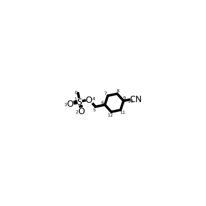 CS(=O)(=O)OCC1CCC(C#N)CC1